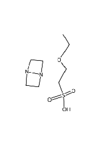 C1CN2CCN12.CCOCCS(=O)(=O)O